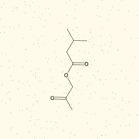 CC(=O)COC(=O)CC(C)C